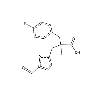 CC(Cc1ccc(F)cc1)(Cc1ccc(C=O)s1)C(=O)O